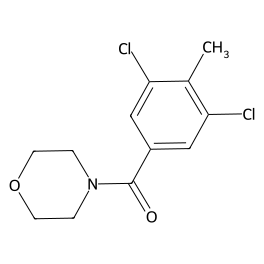 Cc1c(Cl)cc(C(=O)N2CCOCC2)cc1Cl